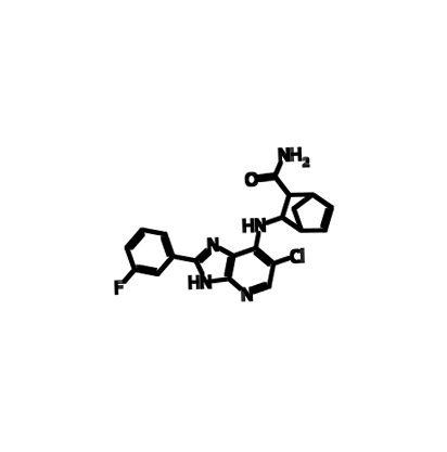 NC(=O)C1C2C=CC(C2)C1Nc1c(Cl)cnc2[nH]c(-c3cccc(F)c3)nc12